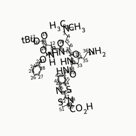 CN(C)CCCC[C@H](NC(=O)[C@H](CCC(=O)OC(C)(C)C)NC(=O)OCc1ccccc1)C(=O)N[C@@H](CCCCN)C(=O)Nc1ccc2nc(C3=N[C@@H](C(=O)O)CS3)sc2c1